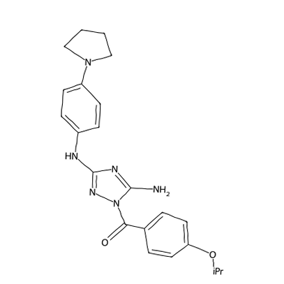 CC(C)Oc1ccc(C(=O)n2nc(Nc3ccc(N4CCCC4)cc3)nc2N)cc1